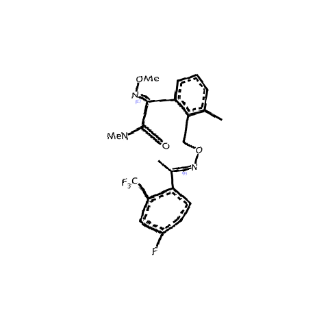 CNC(=O)/C(=N/OC)c1cccc(C)c1CO/N=C(\C)c1ccc(F)cc1C(F)(F)F